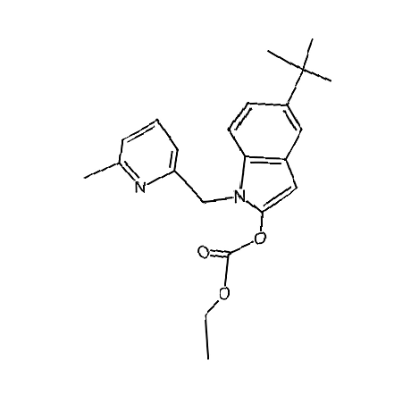 CCOC(=O)Oc1cc2cc(C(C)(C)C)ccc2n1Cc1cccc(C)n1